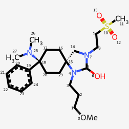 COCCCN1C(O)N(CCS(C)(=O)=O)C[C@]12CC[C@](c1ccccc1)(N(C)C)CC2